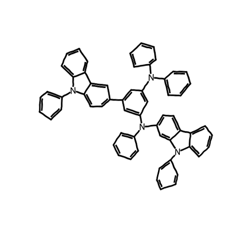 c1ccc(N(c2ccccc2)c2cc(-c3ccc4c(c3)c3ccccc3n4-c3ccccc3)cc(N(c3ccccc3)c3ccc4c5ccccc5n(-c5ccccc5)c4c3)c2)cc1